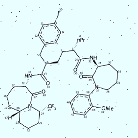 CCC[C@@H](CC[C@H](Cc1ccc(F)cc1)C(=O)N[C@H]1CCS[C@H]2CCC[C@@H](C(F)(F)F)N2C1=O)C(=O)N[C@H]1CCCCN(c2ccccc2OC)C1=O